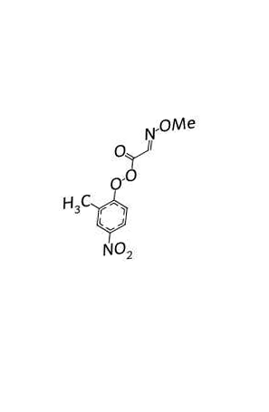 CON=CC(=O)OOc1ccc([N+](=O)[O-])cc1C